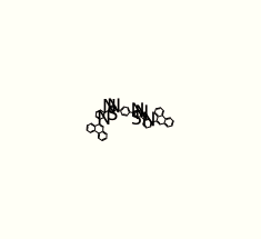 c1cc(-c2nnc(-c3ccc(-c4nnc(-c5cccc(-c6cc7ccccc7c7ccccc67)n5)s4)cc3)s2)nc(-c2cc3ccccc3c3ccccc23)c1